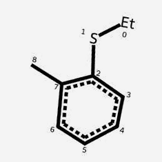 CCSc1ccccc1C